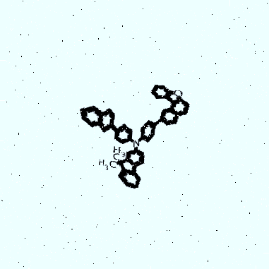 CC1(C)c2ccccc2-c2ccc(N(c3ccc(-c4ccc5ccccc5c4)cc3)c3ccc(-c4ccc5ccc6oc7ccccc7c6c5c4)cc3)cc21